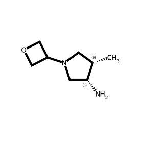 C[C@H]1CN(C2COC2)C[C@H]1N